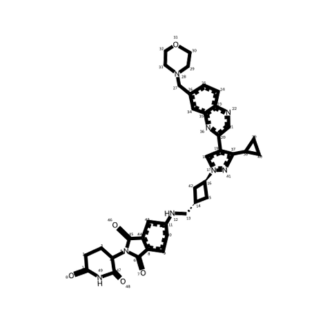 O=C1CCC(N2C(=O)c3ccc(NC[C@H]4C[C@H](n5cc(-c6cnc7ccc(CN8CCOCC8)cc7n6)c(C6CC6)n5)C4)cc3C2=O)C(=O)N1